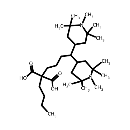 CCCCC(CCCC(C1CC(C)(C)N(C)C(C)(C)C1)C1CC(C)(C)N(C)C(C)(C)C1)(C(=O)O)C(=O)O